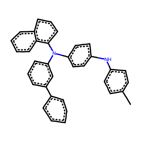 Cc1ccc(Nc2ccc(N(c3cccc(-c4ccccc4)c3)c3cccc4ccccc34)cc2)cc1